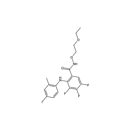 CCOCCONC(=O)c1cc(F)c(F)c(F)c1Nc1ccc(I)cc1C